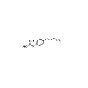 CCCCc1ccc(OP(O)O)cc1